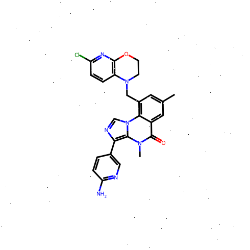 Cc1cc(CN2CCOc3nc(Cl)ccc32)c2c(c1)c(=O)n(C)c1c(-c3ccc(N)nc3)ncn21